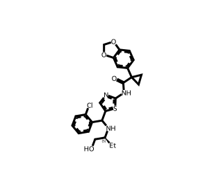 CC[C@@H](CO)NC(c1cnc(NC(=O)C2(c3ccc4c(c3)OCO4)CC2)s1)c1ccccc1Cl